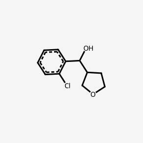 OC(c1ccccc1Cl)C1CCOC1